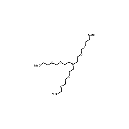 COCCOCOCCN(CCOCCOCOC)CCOCOCCOC